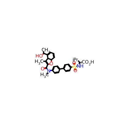 CC1=C(C(=O)N(C)c2ccc(-c3ccc(S(=O)(=O)N[C@H](C(=O)O)C(C)C)cc3)cc2)OC2C=CC=C(C(C)O)C12